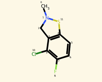 CN1Cc2c(ccc(F)c2Cl)S1